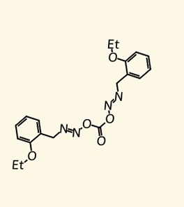 CCOc1ccccc1CN=NOC(=O)ON=NCc1ccccc1OCC